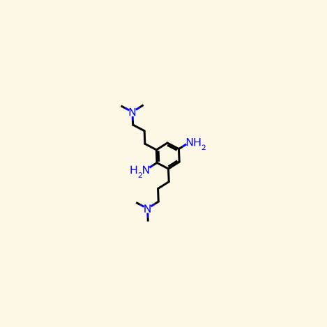 CN(C)CCCc1cc(N)cc(CCCN(C)C)c1N